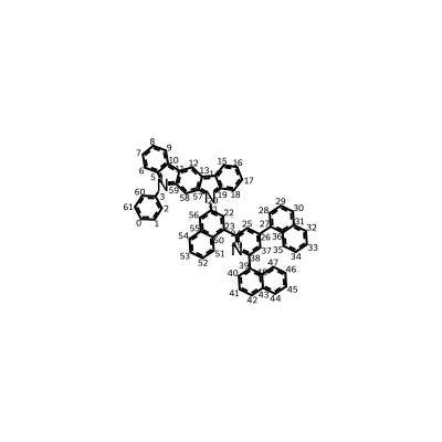 c1ccc(-n2c3ccccc3c3cc4c5ccccc5n(-c5cc(-c6cc(-c7cccc8ccccc78)cc(-c7cccc8ccccc78)n6)c6ccccc6c5)c4cc32)cc1